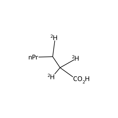 [2H]C(CCC)C([2H])([2H])C(=O)O